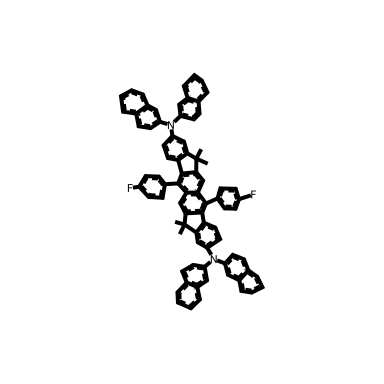 CC1(C)c2cc(N(c3ccc4ccccc4c3)c3ccc4ccccc4c3)ccc2-c2c1cc1c(-c3ccc(F)cc3)c3c(cc1c2-c1ccc(F)cc1)C(C)(C)c1cc(N(c2ccc4ccccc4c2)c2ccc4ccccc4c2)ccc1-3